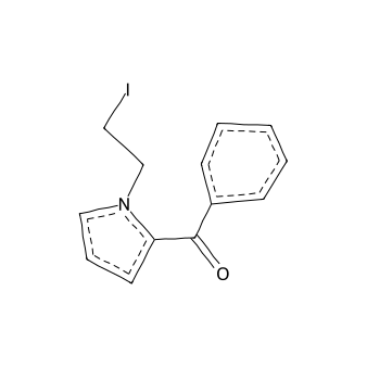 O=C(c1ccccc1)c1cccn1CCI